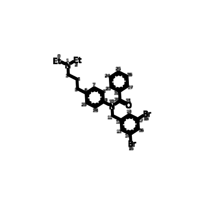 CCN(CC)CCCc1ccc(N(Cc2cc(Br)cc(Br)c2)C(=O)c2ccccc2)cc1